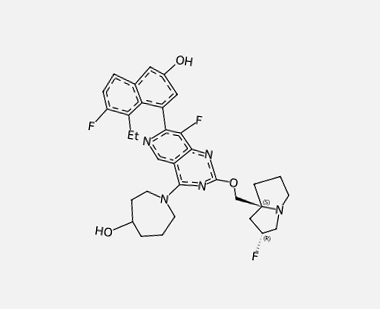 CCc1c(F)ccc2cc(O)cc(-c3ncc4c(N5CCCC(O)CC5)nc(OC[C@@]56CCCN5C[C@H](F)C6)nc4c3F)c12